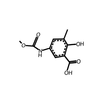 COC(=O)Nc1cc(C)c(O)c(C(=O)O)c1